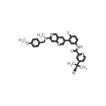 COc1ccc(CN(C)c2cc3ncc(-c4cc(NC(=O)c5cc(C(C)(C)C#N)ccn5)ccc4F)cc3cn2)cc1